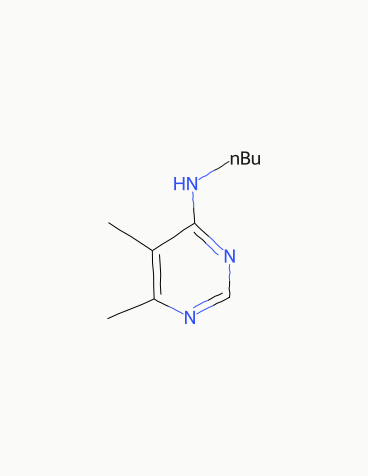 CCCCNc1ncnc(C)c1C